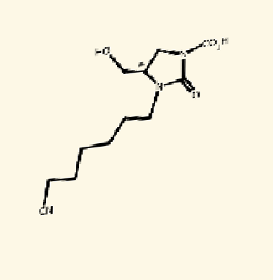 N#CCCCCCCN1C(=O)N(C(=O)O)C[C@@H]1CO